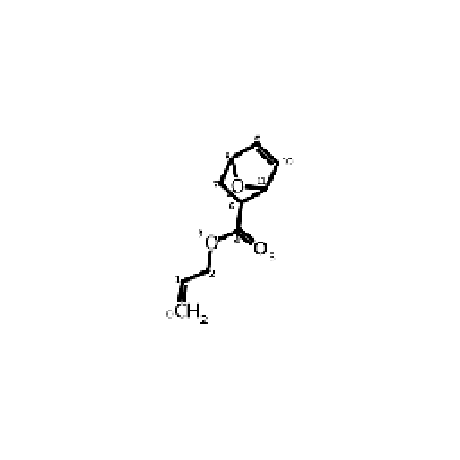 C=CCOC(=O)C1CC2C=CC1O2